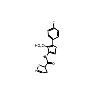 O=C(O)c1c(NC(=O)C2CC=NO2)csc1-c1ccc(Cl)cc1